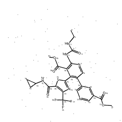 CCNC(=O)Nc1ncc(-c2cncc(C(=O)OC)c2)c(-c2nc(C(F)(F)F)c(C(=O)NC3CC3)s2)c1C(=O)OC